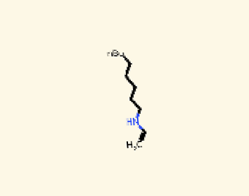 C=CNCCCCCCCCC